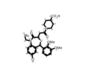 COc1cccc(C2SC(CC(=O)N3CCC(C(=O)O)CC3)C(=O)N(CC(C)(C)C)c3ccc(Cl)cc32)c1OC